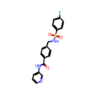 O=C(Nc1cccnc1)c1ccc(CNS(=O)(=O)c2ccc(F)cc2)cc1